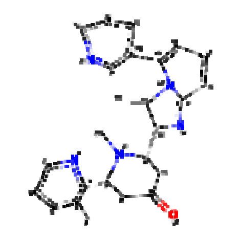 Cc1cccnc1[C@H]1CC(=O)C[C@@H](C2N=C3C=CC=C(c4cccnc4)N3C2C)N1C